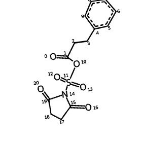 O=C(CCc1ccccc1)OS(=O)(=O)N1C(=O)CCC1=O